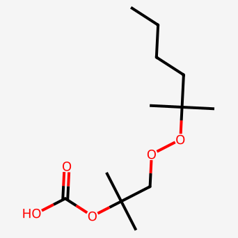 CCCCC(C)(C)OOCC(C)(C)OC(=O)O